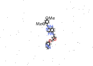 COc1ccc(CNc2nccc3c(NCC45COC(COc6ccn7ccnc7c6)(C4)C5)cccc23)c(OC)c1